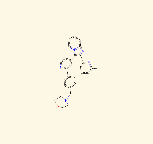 Cc1cccc(-c2nc3ccccn3c2-c2ccnc(-c3ccc(CN4CCOCC4)cc3)c2)n1